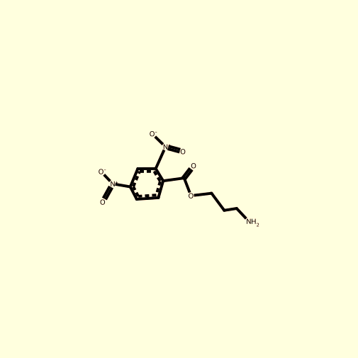 NCCCOC(=O)c1ccc([N+](=O)[O-])cc1[N+](=O)[O-]